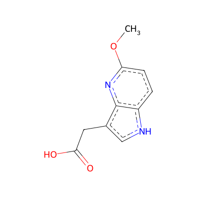 COc1ccc2[nH]cc(CC(=O)O)c2n1